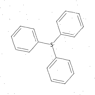 c1ccc([S](c2ccccc2)c2ccccc2)cc1